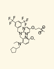 CCN(CC1CCCC1)c1ccc(OC)nc1CN(Cc1cc(C(F)(F)F)cc(C(F)(F)F)c1)c1ncc(OCCS(C)(=O)=O)cn1